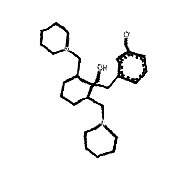 OC1(Cc2cccc(Cl)c2)C(CN2CCCCC2)CCCC1CN1CCCCC1